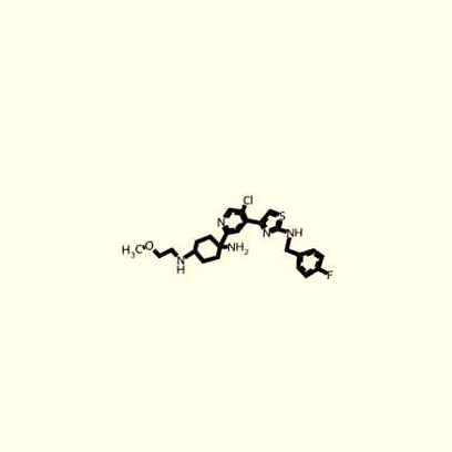 COCCNC1CCC(N)(c2cc(-c3csc(NCc4ccc(F)cc4)n3)c(Cl)cn2)CC1